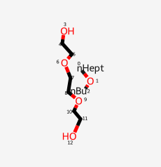 CCCCCCCOCCCC.OCCOCCOCCO